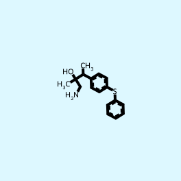 CC(c1ccc(Sc2ccccc2)cc1)C(C)(O)CN